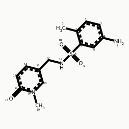 Cc1ccc(N)cc1S(=O)(=O)NCc1ccc(=O)n(C)c1